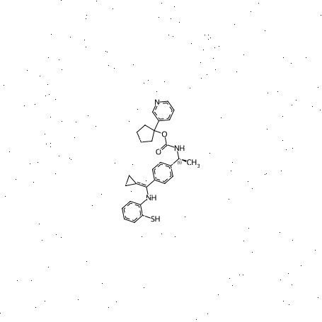 C[C@H](NC(=O)OC1(c2cccnc2)CCCC1)c1ccc(C(Nc2ccccc2S)=C2CC2)cc1